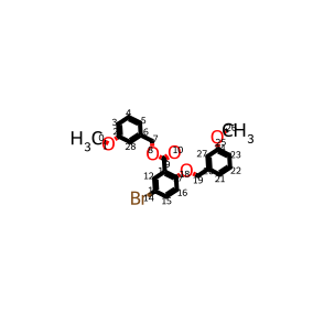 COc1cccc(COC(=O)c2cc(Br)ccc2OCc2cccc(OC)c2)c1